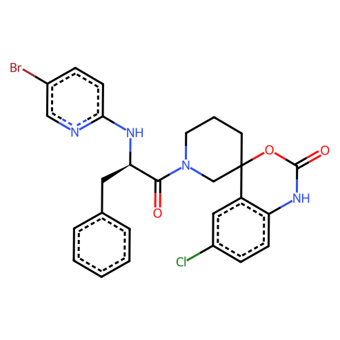 O=C1Nc2ccc(Cl)cc2C2(CCCN(C(=O)[C@@H](Cc3ccccc3)Nc3ccc(Br)cn3)C2)O1